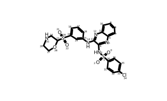 O=S(=O)(Nc1nc2ccccc2nc1Nc1cccc(S(=O)(=O)C2CNCCO2)c1)c1ccc(Cl)cc1